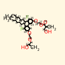 C=C(CO)COCCOc1cc(F)c(CCCCCCC)c(-c2cc(OCCOC(=O)C(=C)CO)cc(F)c2CCCCCCC)c1